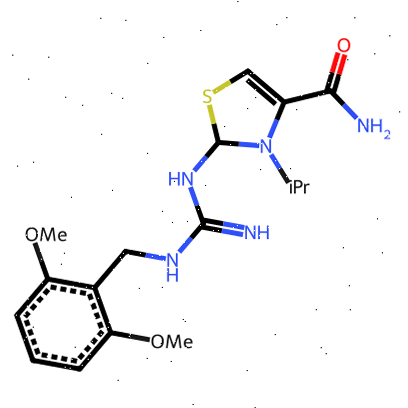 COc1cccc(OC)c1CNC(=N)NC1SC=C(C(N)=O)N1C(C)C